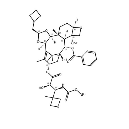 CC(=O)O[C@@]12CO[C@@H]1CC[C@@]1(C)[C@@H]3O[C@H](CN4CCC4)O[C@@H]3C3=C(C)[C@@H](OC(=O)[C@H](O)[C@@H](NC(=O)OC(C)(C)C)C4(C)COC4)C[C@@](O)([C@@H](OC(=O)c4ccccc4)[C@@H]12)C3(C)C